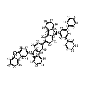 C1=CC(c2cc(-c3ccccc3)cc(-n3c4ccccc4c4cc(C5C=Cc6c(c7ccccc7n6-c6ccc7oc8ccccc8c7c6)C5)ccc43)c2)=CCC1